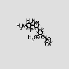 COc1cc(-c2cnc(N)c(-c3ccc(N)cc3F)c2)ccc1OCC1COCCO1